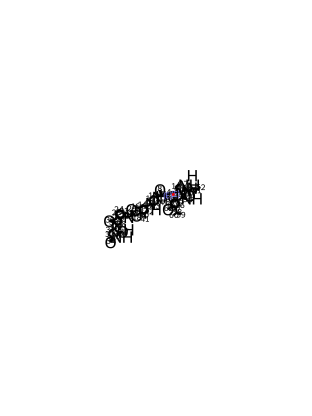 C=C/C(=C\C=C(/C)C(=O)N1CCN(c2cc(C)c(OC(=O)Nc3cccc4c3CN(C3CCC(=O)NC3=O)C4=O)c(C)c2)CC1)N(C(=N)C(=O)NCC)C(=N)c1cc(C(C)C)c(O)cc1O